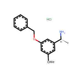 COc1cc(OCc2ccccc2)cc([C@@H](C)N)c1.Cl